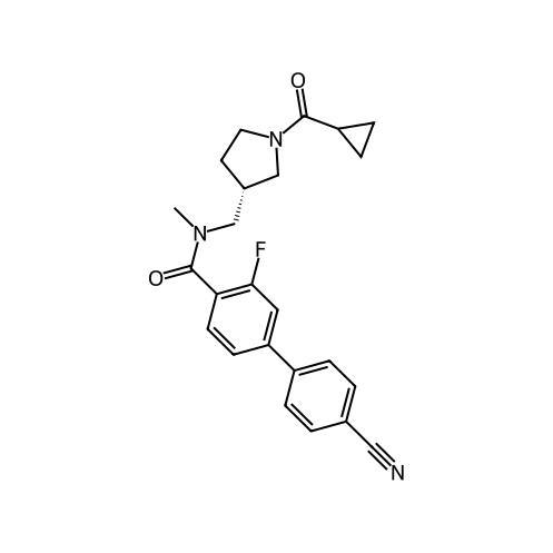 CN(C[C@@H]1CCN(C(=O)C2CC2)C1)C(=O)c1ccc(-c2ccc(C#N)cc2)cc1F